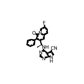 C[C@H](Nc1ncnc2[nH]cc(C#N)c12)c1cc2ccc(F)cn2c(=O)c1-c1ccccc1